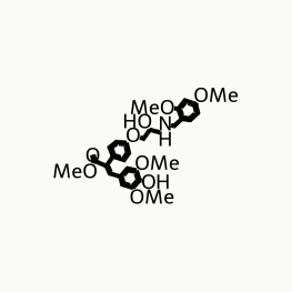 COC(=O)/C(=C/c1cc(OC)c(O)c(OC)c1)c1ccc(OCC(O)CNCc2ccc(OC)cc2OC)cc1